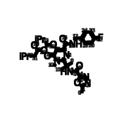 Cc1nnc(C(=O)NC(C)(C)c2nc(C(=O)NCc3ccc(F)cc3)c(OC(OC(=O)CC(C)C)C(C)C)c(=O)n2C)o1